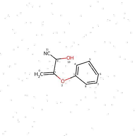 C=C(Oc1ccccc1)C(O)C#N